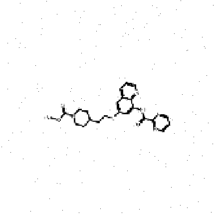 CC(C)(C)OC(=O)N1CCC(CCOc2cc(NC(=O)c3ncccn3)c3ncccc3c2)CC1